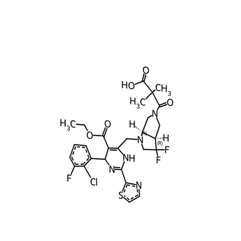 CCOC(=O)C1=C(CN2CC(F)(F)[C@@H]3CN(C(=O)C(C)(C)C(=O)O)C[C@@H]32)NC(c2nccs2)=NC1c1cccc(F)c1Cl